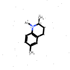 CC(=O)N1c2ccc(C)cc2CC[C@@H]1C